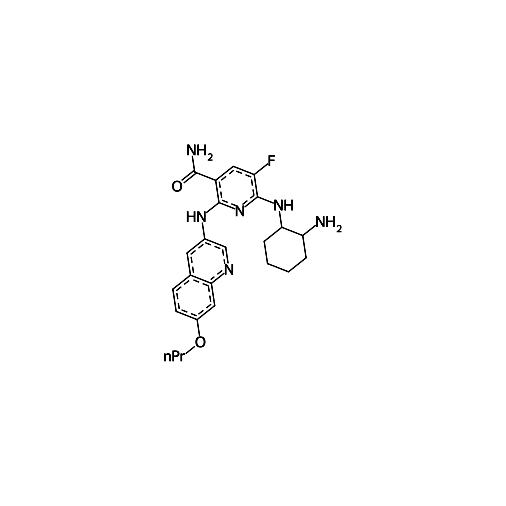 CCCOc1ccc2cc(Nc3nc(NC4CCCCC4N)c(F)cc3C(N)=O)cnc2c1